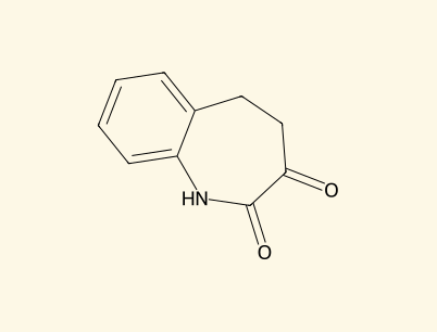 O=C1CCc2ccccc2NC1=O